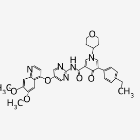 CCc1ccc(-c2cn(C3CCOCC3)cc(C(=O)Nc3ncc(Oc4ccnc5cc(OC)c(OC)cc45)cn3)c2=O)cc1